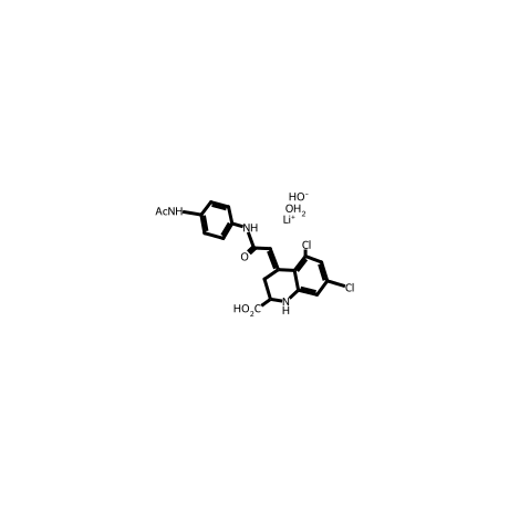 CC(=O)Nc1ccc(NC(=O)C=C2CC(C(=O)O)Nc3cc(Cl)cc(Cl)c32)cc1.O.[Li+].[OH-]